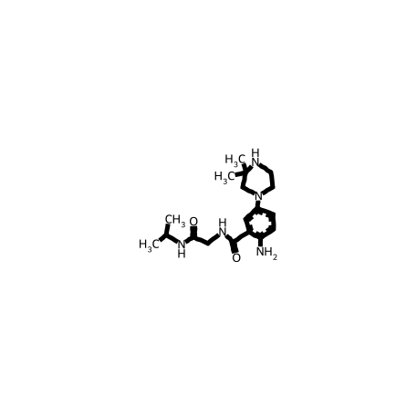 CC(C)NC(=O)CNC(=O)c1cc(N2CCNC(C)(C)C2)ccc1N